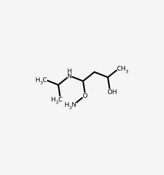 CC(O)CC(NC(C)C)ON